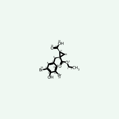 CCOC(=O)[C@@]1(Cc2cc(Br)c(O)c(Br)c2)C[C@@H]1C(=O)O